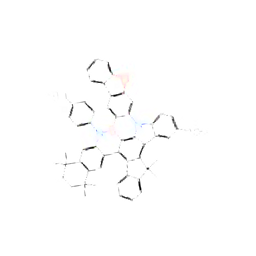 CC(C)(C)c1ccc(N2B3c4cc5c(cc4-n4c6ccc(C(C)(C)C)cc6c6c7c(c(c3c64)-c3cc4c(cc32)C(C)(C)CCC4(C)C)-c2ccccc2C7(C)C)oc2ccccc25)cc1